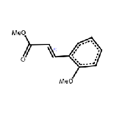 COC(=O)/C=C/c1c[c]ccc1OC